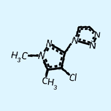 Cc1c(Cl)c(-n2ccnn2)nn1C